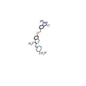 CC1=C(CN2CCCC(C(=O)O)CC2)CCc2cc(OCc3ccc4c(c3)c(Cl)nn4C(C)C)ccc21